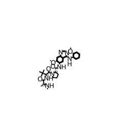 CN[C@@H](C)C(=O)N[C@H](C(=O)N1CCC[C@H]1C(=O)Nc1cc2c(Nc3ccccc3OC)ncnc2cc1OC)C(C)(C)C